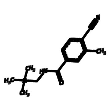 Cc1cc(C(=O)NC[Si](C)(C)C)ccc1C#N